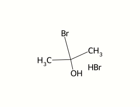 Br.CC(C)(O)Br